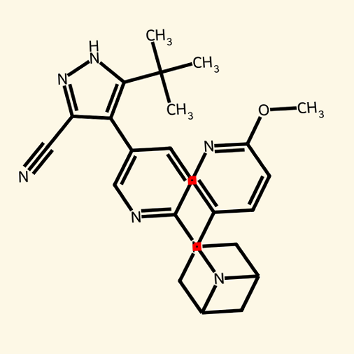 COc1ccc(CN2C3CC2CN(c2ccc(-c4c(C#N)n[nH]c4C(C)(C)C)cn2)C3)cn1